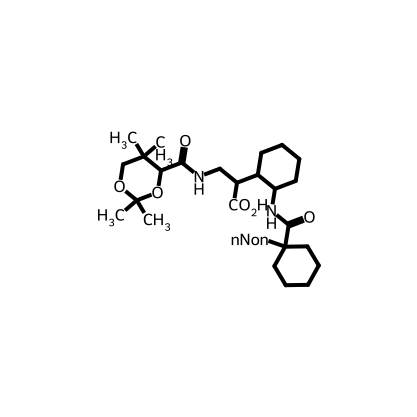 CCCCCCCCCC1(C(=O)NC2CCCCC2C(CNC(=O)C2OC(C)(C)OCC2(C)C)C(=O)O)CCCCC1